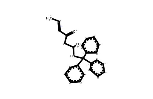 C/C=C/C(=O)CC(NC(c1ccccc1)(c1ccccc1)c1ccccc1)C(=O)O